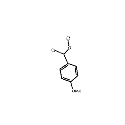 CCOC(Cl)c1ccc(OC)cc1